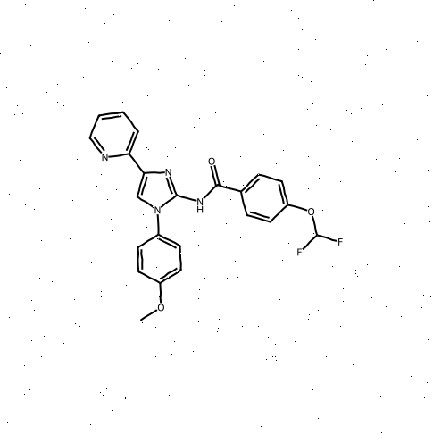 COc1ccc(-n2cc(-c3ccccn3)nc2NC(=O)c2ccc(OC(F)F)cc2)cc1